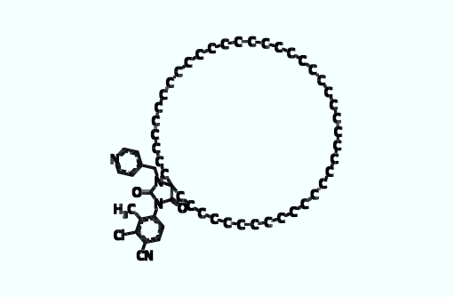 Cc1c(N2C(=O)N(Cc3ccncc3)C3(CCCCCCCCCCCCCCCCCCCCCCCCCCCCCCCCCCCCCCCCC3)C2=O)ccc(C#N)c1Cl